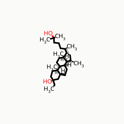 CC[C@]1(O)CC[C@@]2(C)C(=CC[C@H]3[C@@H]4[C@H](C)C[C@H]([C@H](C)CCCC(C)(C)O)[C@@]4(C)CC[C@@H]32)C1